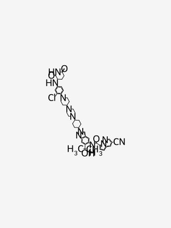 CC(C)(O)c1cc2nn(C3CCC(N4CCN(C5CCN(c6ccc(NC7CCC(=O)NC7=O)cc6Cl)CC5)CC4)CC3)cc2cc1NC(=O)c1ccc2cc(C#N)cnn12